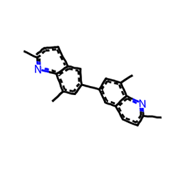 Cc1ccc2cc(-c3cc(C)c4nc(C)ccc4c3)cc(C)c2n1